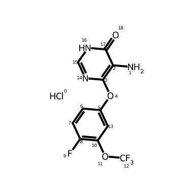 Cl.Nc1c(Oc2ccc(F)c(OC(F)(F)F)c2)nc[nH]c1=O